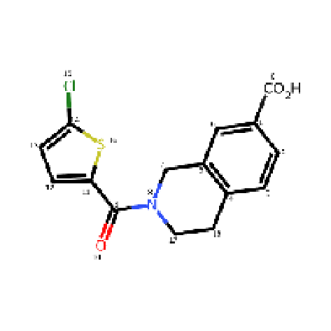 O=C(O)c1ccc2c(c1)CN(C(=O)c1ccc(Cl)s1)CC2